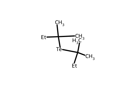 CCC(C)(C)[Te]C(C)(C)CC